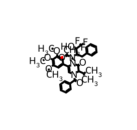 COc1cc(C2=CN(C(=O)c3ccccc3)C(C(C)C)C(=O)N2N(C(C)=O)C(Cc2ccccc2)C(O)C(F)(F)F)cc(OC)c1OC